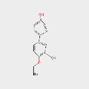 CCC(C)COc1ccc(-c2ccc(O)cc2)cc1C#N